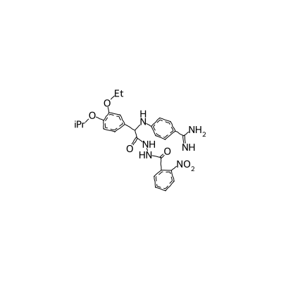 CCOc1cc(C(Nc2ccc(C(=N)N)cc2)C(=O)NNC(=O)c2ccccc2[N+](=O)[O-])ccc1OC(C)C